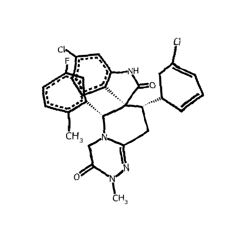 Cc1ccc(F)cc1[C@H]1N2CC(=O)N(C)N=C2C[C@@H](C2C=CC=C(Cl)C2)[C@]12C(=O)Nc1cc(Cl)ccc12